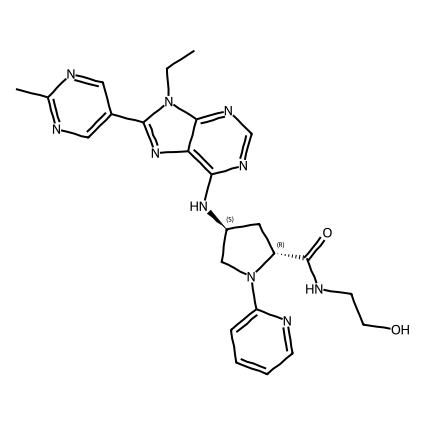 CCn1c(-c2cnc(C)nc2)nc2c(N[C@H]3C[C@H](C(=O)NCCO)N(c4ccccn4)C3)ncnc21